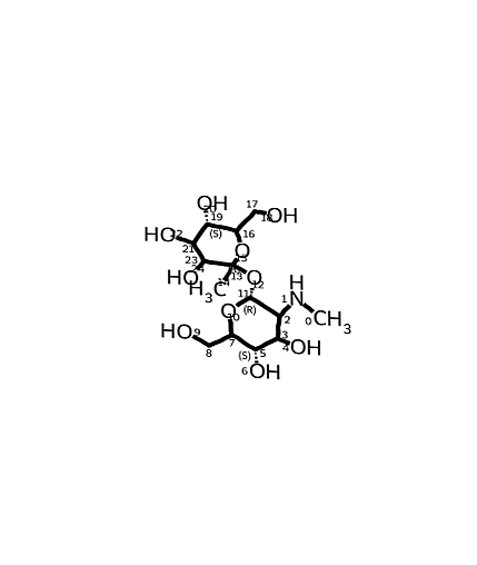 CNC1C(O)[C@H](O)C(CO)O[C@@H]1O[C@@]1(C)OC(CO)[C@@H](O)C(O)C1O